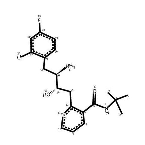 CC(C)(C)NC(=O)c1cccnc1C[C@H](O)[C@H](N)Cc1ccc(F)cc1Cl